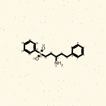 NC(CCc1ccccc1)CCS(=O)(=O)c1ccccc1